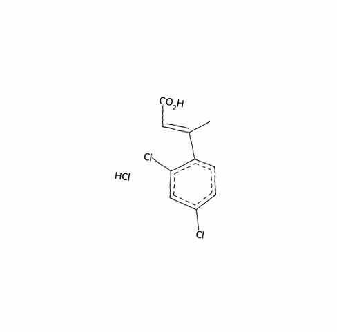 CC(=CC(=O)O)c1ccc(Cl)cc1Cl.Cl